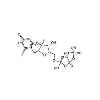 C[C@]1(F)[C@H](Cn2ccc(=O)[nH]c2=O)OC(COP(=O)(O)OP(=O)(O)OP(=O)(O)O)[C@H]1O